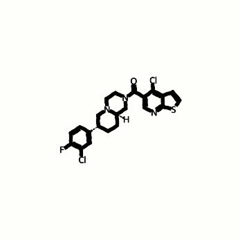 O=C(c1cnc2sccc2c1Cl)N1CCN2C[C@@H](c3ccc(F)c(Cl)c3)CC[C@@H]2C1